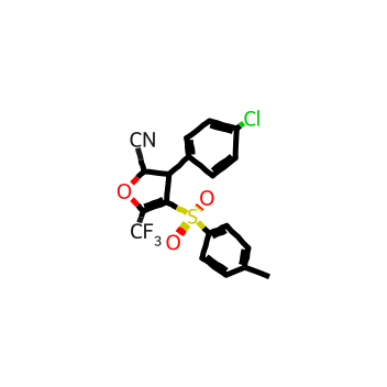 Cc1ccc(S(=O)(=O)C2=C(C(F)(F)F)OC(C#N)C2c2ccc(Cl)cc2)cc1